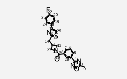 Cc1nc(-c2cccc(C(=O)N3CC(Cc4nc(-c5ccc(F)cc5)cs4)C3)c2)no1